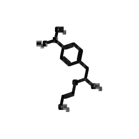 CC=COC(C)Cc1ccc(N(C)C)cc1